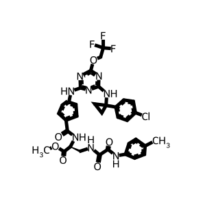 COC(=O)[C@H](CNC(=O)C(=O)Nc1ccc(C)cc1)NC(=O)c1ccc(Nc2nc(NC3(c4ccc(Cl)cc4)CC3)nc(OCC(F)(F)F)n2)cc1